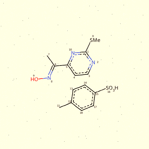 CSc1nccc(C(C)=NO)n1.Cc1ccc(S(=O)(=O)O)cc1